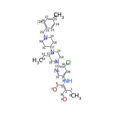 CC/C(C=O)=C(/C=O)Nc1cnc(N2CCN(C3CCN(Cc4ccc(C)cc4F)CC3)C(CC)C2)c(Cl)c1